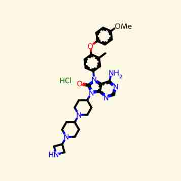 COc1ccc(Oc2ccc(-n3c(=O)n(C4CCN(C5CCN(C6CNC6)CC5)CC4)c4ncnc(N)c43)cc2C)cc1.Cl